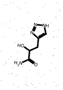 NC(=O)C(O)Cc1c[nH]nn1